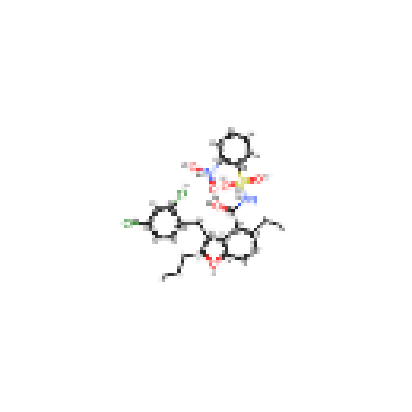 CCCc1oc2ccc(CC)c(C(=O)NS(=O)(=O)c3ccccc3[N+](=O)[O-])c2c1Cc1ccc(Cl)cc1Cl